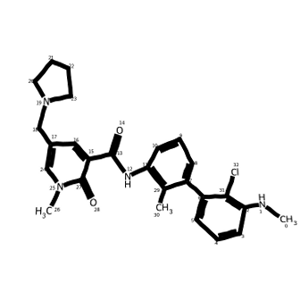 CNc1cccc(-c2cccc(NC(=O)c3cc(CN4CCCC4)cn(C)c3=O)c2C)c1Cl